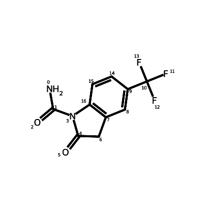 NC(=O)N1C(=O)Cc2cc(C(F)(F)F)ccc21